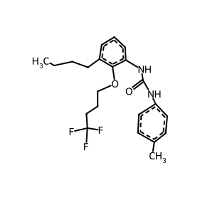 CCCCc1cccc(NC(=O)Nc2ccc(C)cc2)c1OCCCC(F)(F)F